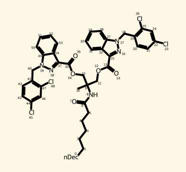 CCCCCCCCCCCCCCCC(=O)NC(C)(COC(=O)c1nn(Cc2ccc(Cl)cc2Cl)c2ccccc12)COC(=O)c1nn(Cc2ccc(Cl)cc2Cl)c2ccccc12